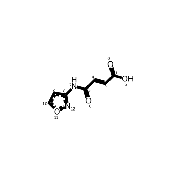 O=C(O)/C=C/C(=O)Nc1ccon1